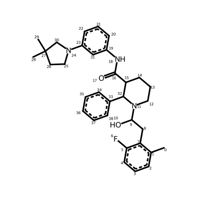 Cc1cccc(F)c1CC(O)N1CCCC(C(=O)Nc2cccc(N3CCC(C)(C)C3)c2)C1c1ccccc1